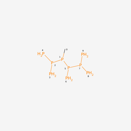 CP(P(P)P)P(P)P(P)P